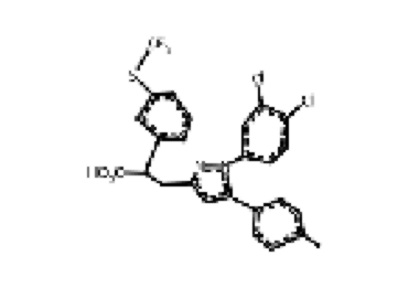 Cc1ccc(-c2cc(CC(C(=O)O)c3cccc(SC(F)(F)F)c3)nn2-c2ccc(Cl)c(Cl)c2)cc1